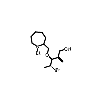 C=C(CO)C(OCC1CCCCCN1CC)[C@@H](C)C(C)C